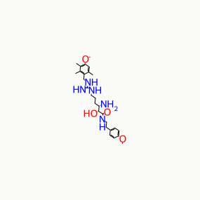 COc1ccc(CCNC(=O)C(O)[C@@H](N)CCCNC(=N)NCc2c(C)cc(OC)c(C)c2C)cc1